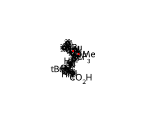 CO[C@@H](C)c1ncccc1-c1c(CC(C)(C)CO[Si](c2ccccc2)(c2ccccc2)C(C)(C)C)c2cc(-c3nc(C[C@H](NC(=O)OC(C)(C)C)C(=O)N4CCC[C@@H](C(=O)O)N4)ns3)ccc2n1CC(F)(F)F